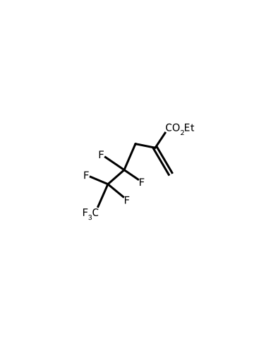 C=C(CC(F)(F)C(F)(F)C(F)(F)F)C(=O)OCC